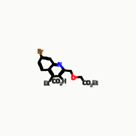 CCOC(=O)COCc1nc2cc(Br)ccc2c(CC)c1C(=O)O